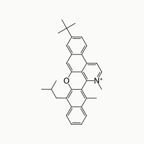 Cc1c2c(c(CC(C)C)c3ccccc13)Oc1cc3cc(C(C)(C)C)ccc3c3cc[n+](C)c-2c13